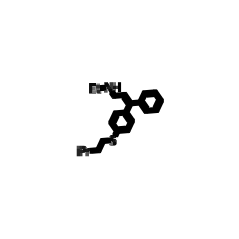 CCNCC=C(c1ccccc1)c1ccc(SCCC(C)C)cc1